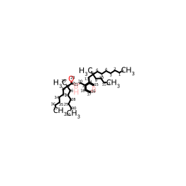 CCCCCCCC(C)(CCCC)Cc1cbccc1CBC(=O)C(C)(CCCCCC)CCCCCC